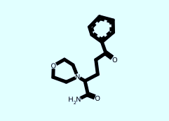 NC(=O)C(CCC(=O)c1ccccc1)N1CCOCC1